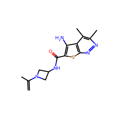 C=C(C)N1CC(NC(=O)c2sc3nnc(C)c(C)c3c2N)C1